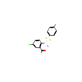 Cc1ccc(S(=O)(=O)N(C)c2ccc(Cl)cc2C(N)=O)cc1